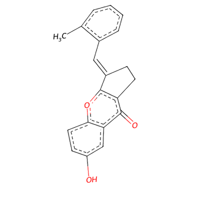 Cc1ccccc1/C=C1\CCc2c1oc1ccc(O)cc1c2=O